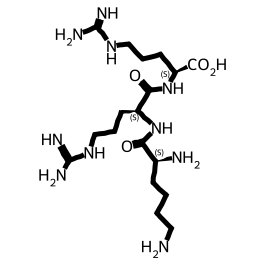 N=C(N)NCCC[C@H](NC(=O)[C@H](CCCNC(=N)N)NC(=O)[C@@H](N)CCCCN)C(=O)O